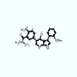 COc1ccccc1-c1c[nH]c2ncc(-c3ccc(N)c(C(=O)N(C)C)c3)c(Cl)c12